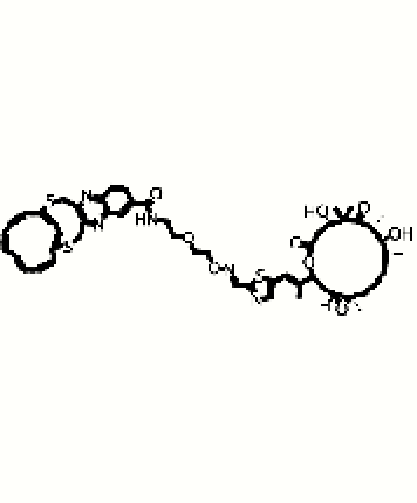 C/C(=C\c1cnc(/C=N/OCCOCCNC(=O)c2ccc3nc4c(nc3c2)CSC2=C\C=C(/C=C\C=C/C=C/C=C\2)SC4)s1)C1C[C@@H]2O[C@]2(C)CCC[C@H](C)[C@H](O)[C@@H](C)C(=O)C(C)(C)[C@@H](O)CC(=O)O1